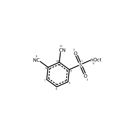 CCCCCCCCS(=O)(=O)c1cccc(C#N)c1C#N